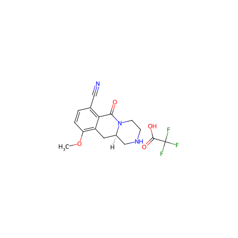 COc1ccc(C#N)c2c1C[C@@H]1CNCCN1C2=O.O=C(O)C(F)(F)F